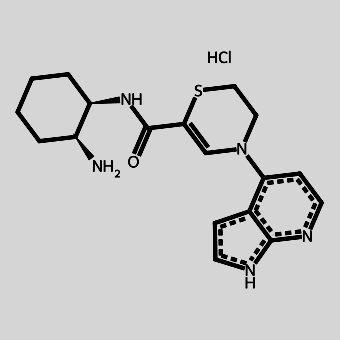 Cl.N[C@H]1CCCC[C@H]1NC(=O)C1=CN(c2ccnc3[nH]ccc23)CCS1